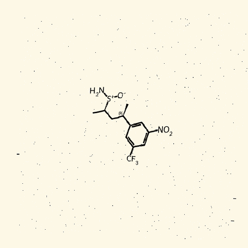 CC(C[C@@H](C)c1cc([N+](=O)[O-])cc(C(F)(F)F)c1)[S+](N)[O-]